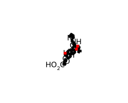 C=C(C)[C@@H]1CC[C@]2(CC(=O)NCc3ccccn3)CC[C@]3(C)[C@H](CC[C@@H]4[C@@]5(C)CC[C@H](OC(=O)CC(C)(C)C(=O)O)C(C)(C)[C@@H]5CC[C@]43C)[C@@H]12